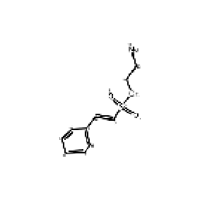 O=S(=O)(C=Cc1ccccc1)OC[CH2][Na]